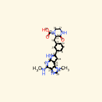 CNc1nc2[nH]c(-c3cccc(CC4C(=O)NCCN4C(=O)O)c3)cc2c2c1ncn2C